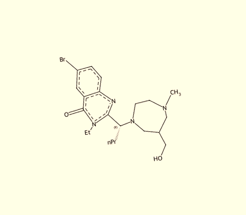 CCC[C@H](c1nc2ccc(Br)cc2c(=O)n1CC)N1CCN(C)CC(CO)C1